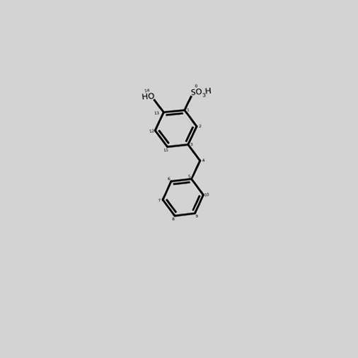 O=S(=O)(O)c1cc(Cc2ccccc2)ccc1O